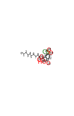 CCCCCCCCCC(=O)OC(=O)c1cc(S(=O)(=O)Cl)ccc1C(=O)O